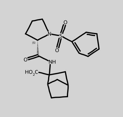 O=C(NC1(C(=O)O)CC2CCC1C2)[C@@H]1CCCN1S(=O)(=O)c1ccccc1